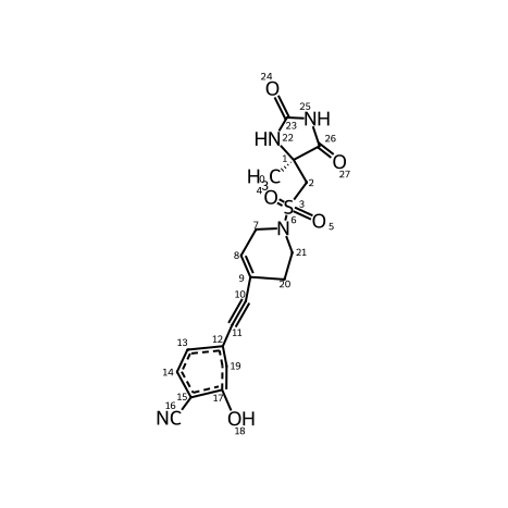 C[C@]1(CS(=O)(=O)N2CC=C(C#Cc3ccc(C#N)c(O)c3)CC2)NC(=O)NC1=O